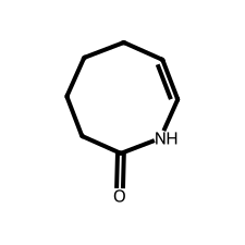 O=C1CCCC/C=C\N1